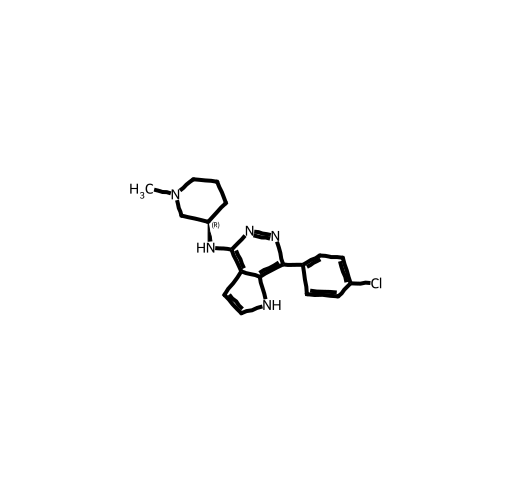 CN1CCC[C@@H](Nc2nnc(-c3ccc(Cl)cc3)c3[nH]ccc23)C1